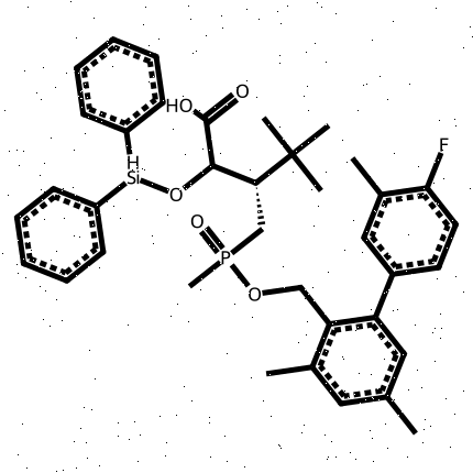 Cc1cc(C)c(COP(C)(=O)C[C@H](C(O[SiH](c2ccccc2)c2ccccc2)C(=O)O)C(C)(C)C)c(-c2ccc(F)c(C)c2)c1